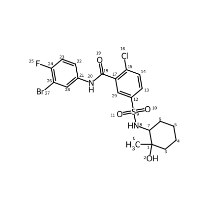 CC1(O)CCCCC1NS(=O)(=O)c1ccc(Cl)c(C(=O)Nc2ccc(F)c(Br)c2)c1